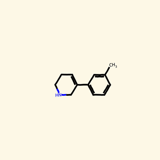 Cc1cccc(C2=CCCNC2)c1